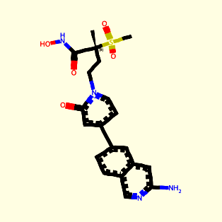 C[C@@](CCn1ccc(-c2ccc3cnc(N)cc3c2)cc1=O)(C(=O)NO)S(C)(=O)=O